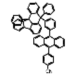 N#Cc1ccc(-c2c3ccccc3c(-c3cccc(C4(c5ccccc5)c5ccccc5C5(c6ccccc6)c6ccccc6-c6cccc4c65)c3)c3ccccc23)cc1